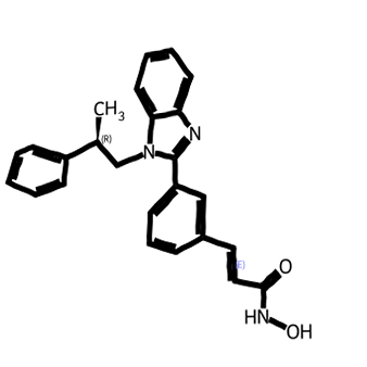 C[C@@H](Cn1c(-c2cccc(/C=C/C(=O)NO)c2)nc2ccccc21)c1ccccc1